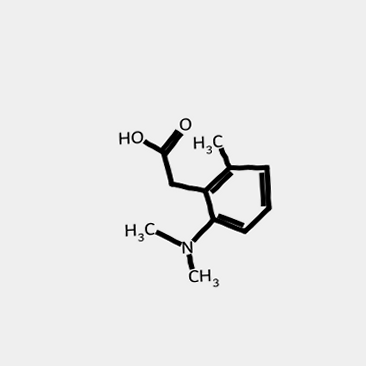 Cc1cccc(N(C)C)c1CC(=O)O